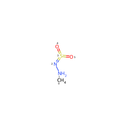 C.NN=S(=O)=O